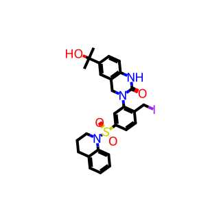 CC(C)(O)c1ccc2c(c1)CN(c1cc(S(=O)(=O)N3CCCc4ccccc43)ccc1CI)C(=O)N2